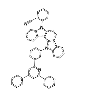 N#Cc1ccccc1-n1c2ccccc2c2c1ccc1c3ccccc3n(-c3cccc(-c4cc(-c5ccccc5)cc(-c5ccccc5)n4)c3)c12